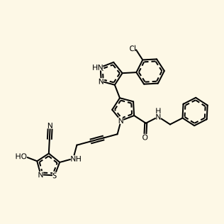 N#Cc1c(O)nsc1NCC#CCn1cc(-c2n[nH]cc2-c2ccccc2Cl)cc1C(=O)NCc1ccccc1